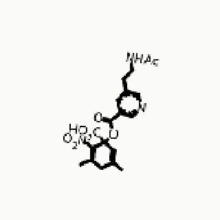 CC(=O)NCCc1cncc(C(=O)OC2(C(=O)O)C=C(C)CC(C)=C2[N+](=O)[O-])c1